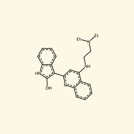 CCN(CC)CCNc1cc(-c2c(O)[nH]c3ccccc23)nc2ccccc12